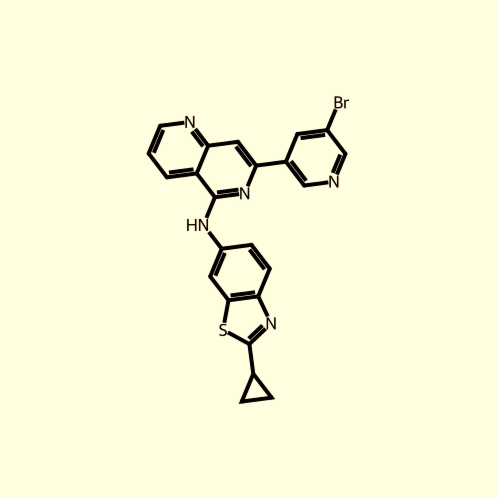 Brc1cncc(-c2cc3ncccc3c(Nc3ccc4nc(C5CC5)sc4c3)n2)c1